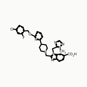 Cn1ncnc1Cn1c(CN2CCC(c3cccc(OCc4ccc(Cl)cc4F)n3)CC2)nc2ccc(C(=O)O)cc21